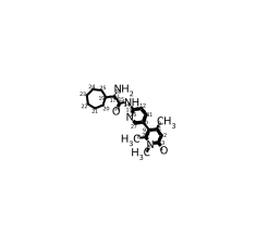 Cc1cc(=O)n(C)c(C)c1-c1ccc(NC(=O)[C@@H](N)C2CCCCCC2)nc1